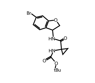 CC(C)(C)OC(=O)NC1(C(=O)NC2COc3cc(Br)ccc32)CC1